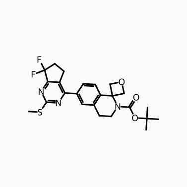 CSc1nc(-c2ccc3c(c2)CCN(C(=O)OC(C)(C)C)C32COC2)c2c(n1)C(F)(F)CC2